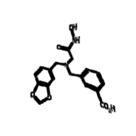 O=C(CN(Cc1cccc(C(=O)O)c1)Cc1ccc2c(c1)OCO2)NO